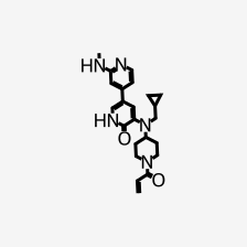 C=CC(=O)N1CCC(N(CC2CC2)c2cc(-c3ccnc(NC)c3)c[nH]c2=O)CC1